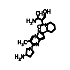 Cc1cn2nc([C@@H]3CCCCN3C(=O)C(CO)C(C)N)cc2nc1N1CC[C@H](N)C1